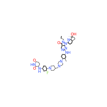 C=CCn1c(=O)c2cnc(Nc3ccc(N4CCN(CC5CCN(c6ccc(NC7CCC(=O)NC7=O)cc6F)CC5)CC4)c(C)c3)nc2n1-c1ccc2c(n1)[C@@](C)(O)CC2